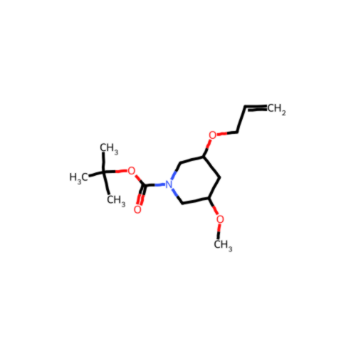 C=CCOC1CC(OC)CN(C(=O)OC(C)(C)C)C1